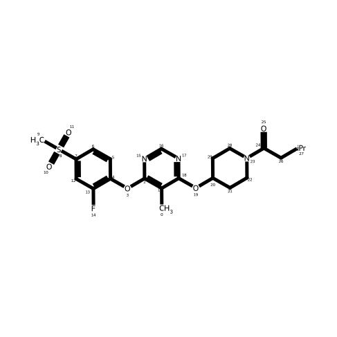 Cc1c(Oc2ccc(S(C)(=O)=O)cc2F)ncnc1OC1CCN(C(=O)CC(C)C)CC1